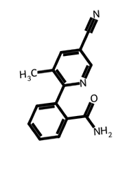 Cc1cc(C#N)cnc1-c1ccccc1C(N)=O